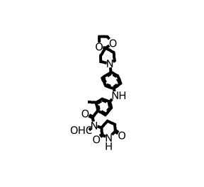 Cc1cc(Nc2ccc(N3CCC4(CC3)OCCO4)cc2)ccc1C(=O)N(C=O)C1CCC(=O)NC1=O